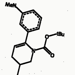 CNc1cccc(C2=CCC(C)CN2C(=O)OC(C)(C)C)c1